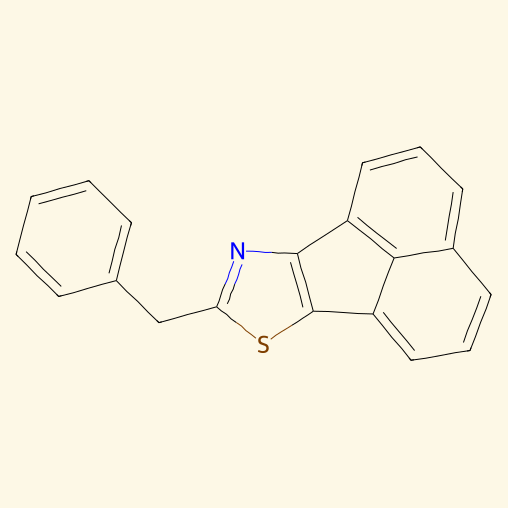 c1ccc(Cc2nc3c(s2)-c2cccc4cccc-3c24)cc1